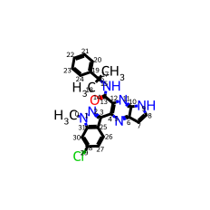 Cn1nc(-c2nc3cc[nH]c3nc2C(=O)NC(C)(C)c2ccccc2)c2ccc(Cl)cc21